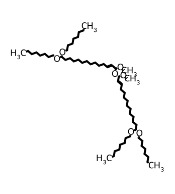 CCCCCCCCOC(CCCCCCCCCCC=CC(OC)OC(C=CCCCCCCCCCCC(OCCCCCCCC)OCCCCCCCC)OC)OCCCCCCCC